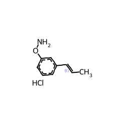 C/C=C/c1cccc(ON)c1.Cl